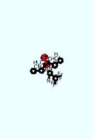 Cc1ccccc1-c1ccc2c(c1)c1cc(-c3ccccc3C)ccc1n2-c1cc(C#N)c(-c2cc(C(F)(F)F)cc(C(F)(F)F)c2)cc1-n1c2ccc(-c3ccccc3C)cc2c2cc(-c3ccccc3C)ccc21